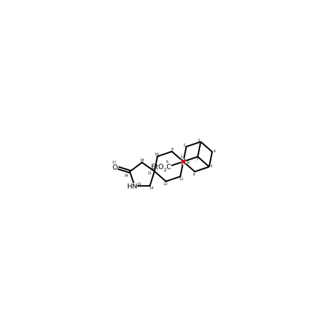 CCOC(=O)N1CC2CC(C1)C2N1CCC2(CC1)CNC(=O)C2